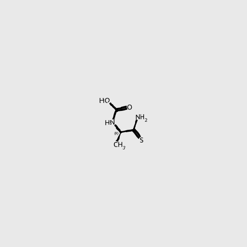 C[C@@H](NC(=O)O)C(N)=S